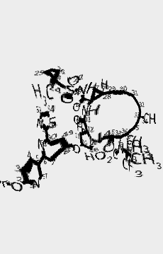 CC(C)Oc1ccc(-c2cc(O[C@@H]3C[C@H]4C(=O)N[C@]5(C(=O)NS(=O)(=O)C6(C)CC6)C[C@H]5/C=C\CC[C@@H](C)C[C@@H](C)[C@H](N(C(=O)O)C(C)(C)C(F)(F)F)C(=O)N4C3)cc(-c3nccs3)n2)cn1